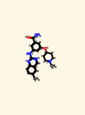 Cc1ccc2nc(Nc3cc(OC4CCN(C)CC4)cc(C(N)=O)c3)ncc2c1